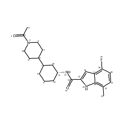 CC(=O)N1CCC(C2CCC[C@@H](NC(=O)c3cc4c(F)ccc(C)c4[nH]3)C2)CC1